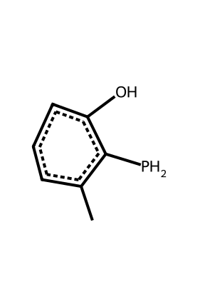 Cc1cccc(O)c1P